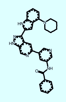 O=C(Nc1cncc(-c2cc3c(-c4cc5c(N6CCCCC6)cccc5[nH]4)n[nH]c3cn2)c1)c1ccccc1